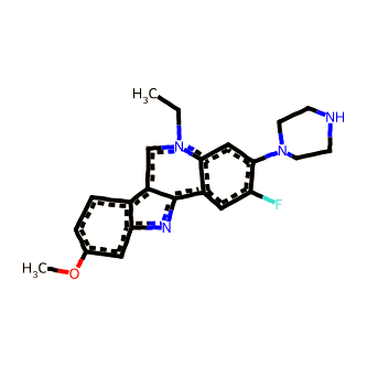 CCn1cc2c3ccc(OC)cc3nc-2c2cc(F)c(N3CCNCC3)cc21